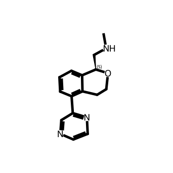 CNC[C@H]1OCCc2c(-c3cnccn3)cccc21